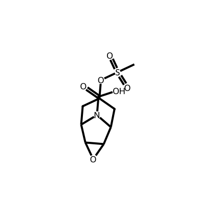 CS(=O)(=O)OC1CC2C3OC3C(C1)N2C(=O)O